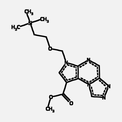 COC(=O)c1cn(COCC[Si](C)(C)C)c2ncc3nncn3c12